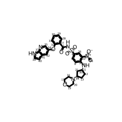 O=C(NS(=O)(=O)c1ccc(N[C@@H]2CC[C@H](N3CCOCC3)C2)c([N+](=O)[O-])c1)c1ccccc1Oc1cnc2[nH]ccc2c1